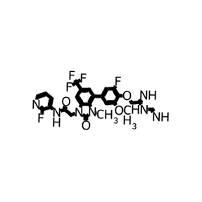 COc1cc(-c2cc(C(F)(F)F)cc3c2n(C)c(=O)n3CC(=O)Nc2cccnc2F)cc(F)c1OCC(=N)NC=N